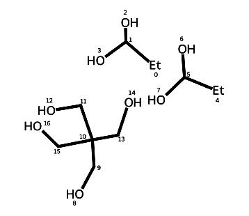 CCC(O)O.CCC(O)O.OCC(CO)(CO)CO